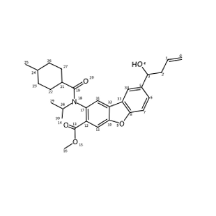 C=CCC(O)c1ccc2oc3cc(C(=O)OC)c(N(C(=O)C4CCC(C)CC4)C(C)C)cc3c2c1